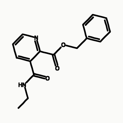 CCNC(=O)c1cccnc1C(=O)OCc1ccccc1